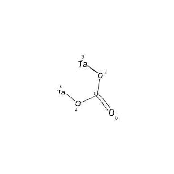 O=C([O][Ta])[O][Ta]